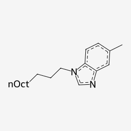 CCCCCCCCCCCn1cnc2cc(C)ccc21